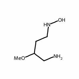 COC(CN)CCNO